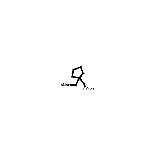 CCCCCCCCCCC1(CCCCCCCCCC)CCCC1